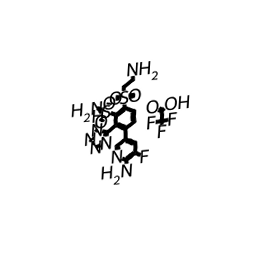 NCCS(=O)(=O)c1ccc(-c2cnc(N)c(F)c2)c(-c2nnn[nH]2)c1S(N)(=O)=O.O=C(O)C(F)(F)F